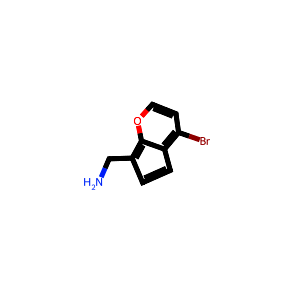 NCc1ccc2c(Br)ccoc1-2